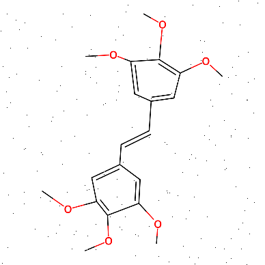 COc1cc(/C=C/c2cc(OC)c(OC)c(OC)c2)cc(OC)c1OC